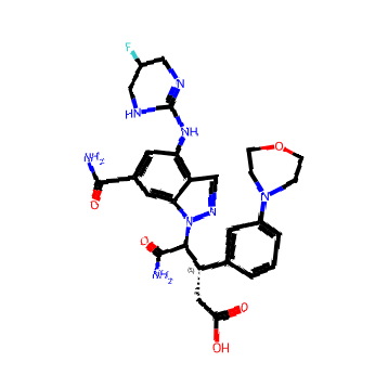 NC(=O)c1cc(NC2=NCC(F)CN2)c2cnn(C(C(N)=O)[C@@H](CC(=O)O)c3cccc(N4CCOCC4)c3)c2c1